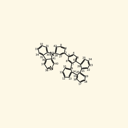 c1cc(-c2ccc3c(c2)-c2ccccc2-c2ccccc2-c2ccccc2-3)cc(-n2c3ccccc3c3ccncc32)c1